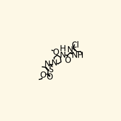 CCOC(=O)c1sc(N2CCC(NC(=O)c3nc(Cl)c(CC)[nH]3)C(OC)C2)nc1C